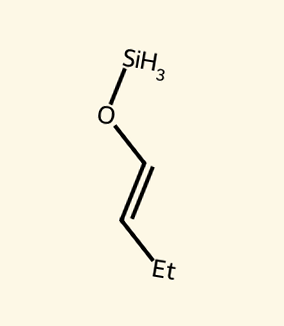 CCC=CO[SiH3]